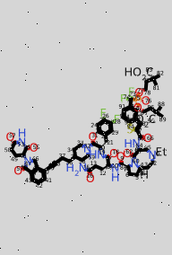 CCN1CC[C@H]2CC[C@@H](C(=O)N[C@@H](CCC(N)=O)C(=O)N[C@@H](Cc3ccc(F)c(F)c3)C(=O)N3CCC(CCC#Cc4cccc5c4CN(C4CCC(=O)NC4=O)C5=O)CC3)N2C(=O)[C@@H](NC(=O)c2cc3cc(C(F)(F)P(=O)(OCCC(C)(C)C(=O)O)OCCC(C)(C)C(=O)O)ccc3s2)C1